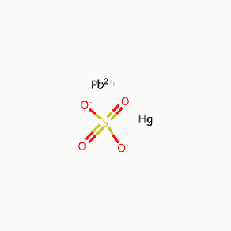 O=S(=O)([O-])[O-].[Hg].[Pb+2]